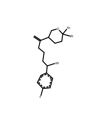 C=C(CCCC(CCC)c1ccc(F)cc1)C1CCC(C(C)=O)(C(C)C)OC1